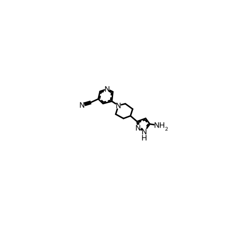 N#Cc1cncc(N2CCC(c3cc(N)[nH]n3)CC2)c1